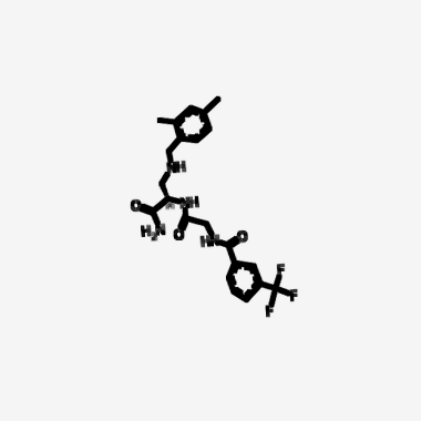 Cc1ccc(CNC[C@@H](NC(=O)CNC(=O)c2cccc(C(F)(F)F)c2)C(N)=O)c(C)c1